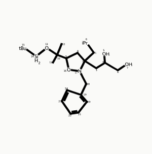 CC(C)CC1(CC(O)CO)CC(C(C)(C)O[SiH2]C(C)(C)C)ON1Cc1ccccc1